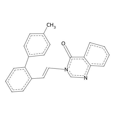 Cc1ccc(-c2ccccc2C=Cn2cnc3ccccc3c2=O)cc1